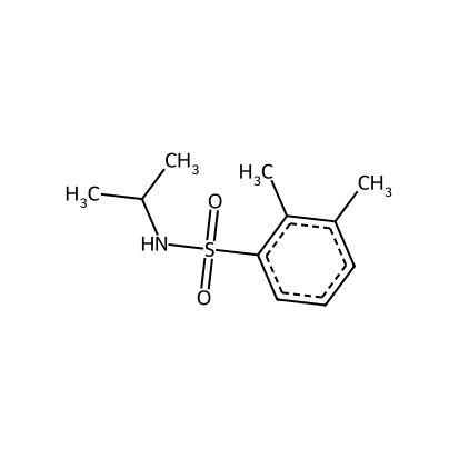 Cc1cccc(S(=O)(=O)NC(C)C)c1C